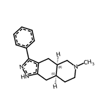 CN1CC[C@H]2Cc3[nH]nc(-c4ccccc4)c3C[C@H]2C1